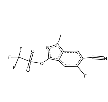 Cn1nc(OS(=O)(=O)C(F)(F)F)c2cc(F)c(C#N)cc21